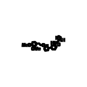 COc1ccc(CCOc2cccc(-c3cccc(NC(=O)c4ncc[nH]4)c3)n2)cc1OC